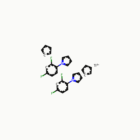 Fc1[c-]c(F)c(-n2cccc2)cc1.Fc1[c-]c(F)c(-n2cccc2)cc1.[Ti+4].c1cc[cH-]c1.c1cc[cH-]c1